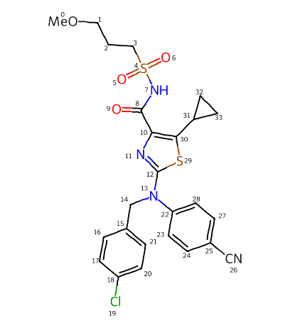 COCCCS(=O)(=O)NC(=O)c1nc(N(Cc2ccc(Cl)cc2)c2ccc(C#N)cc2)sc1C1CC1